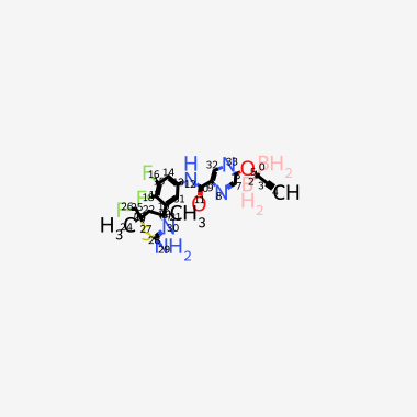 BC(B)(C#C)Oc1cnc(C(=O)Nc2cc(F)c(F)c([C@]3(C)C[C@](C)(CF)SC(N)=N3)c2)cn1